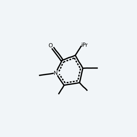 Cc1c(C)c(C)n(C)c(=O)c1C(C)C